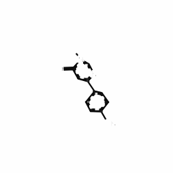 Cn1cnc(-c2ccc(C#N)cc2)cc1=O